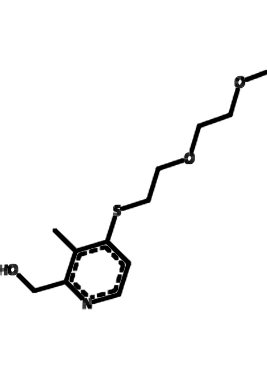 COCCOCCSc1ccnc(CO)c1C